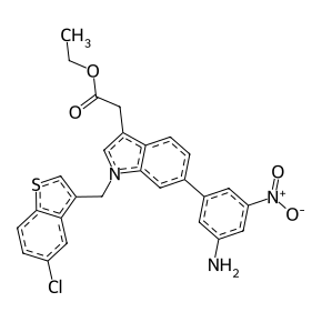 CCOC(=O)Cc1cn(Cc2csc3ccc(Cl)cc23)c2cc(-c3cc(N)cc([N+](=O)[O-])c3)ccc12